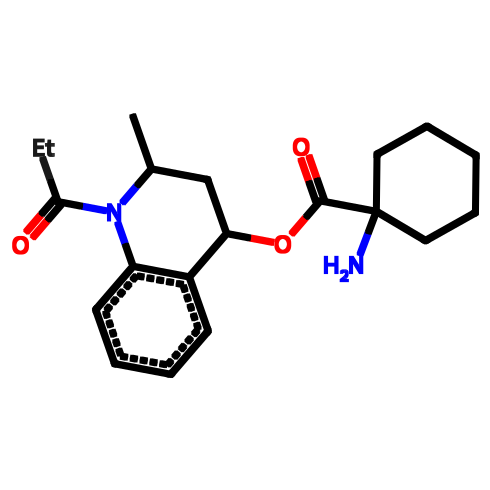 CCC(=O)N1c2ccccc2C(OC(=O)C2(N)CCCCC2)CC1C